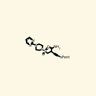 CCCCCC#CC(CS(=O)(=O)N1CCN(c2ncccn2)CC1)C(N)=O